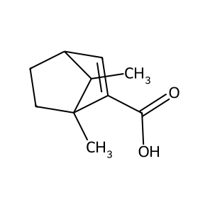 CC1C2C=C(C(=O)O)C1(C)CC2